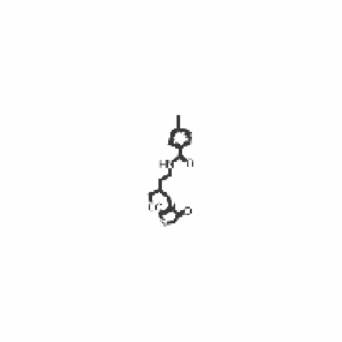 Cc1ccc(C(=O)NCCC(CC(=O)O)CC2=CSCC2=O)cc1